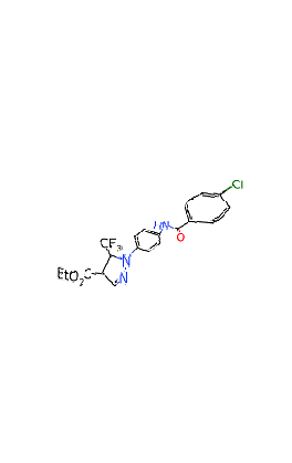 CCOC(=O)C1C=NN(c2ccc(NC(=O)c3ccc(Cl)cc3)cc2)C1C(F)(F)F